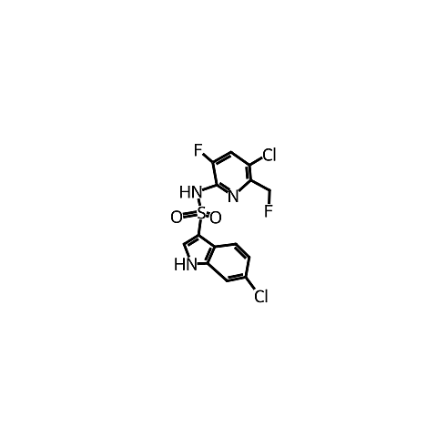 O=S(=O)(Nc1nc(CF)c(Cl)cc1F)c1c[nH]c2cc(Cl)ccc12